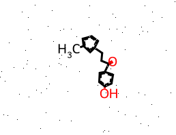 Cc1cccc(CCC(=O)c2ccc(O)cc2)c1